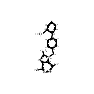 Cc1nc2c(Br)nnc(Br)c2n1Cc1ccc(-c2ccccc2C(=O)O)cc1